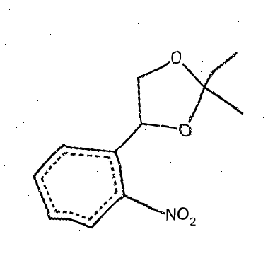 CC1(C)OCC(c2ccccc2[N+](=O)[O-])O1